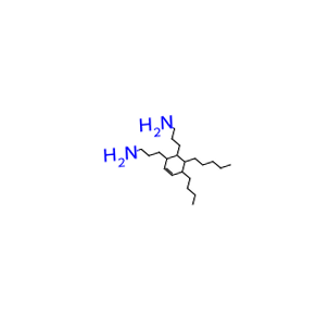 CCCCCC1C(CCCC)C=CC(CCCN)C1CCCN